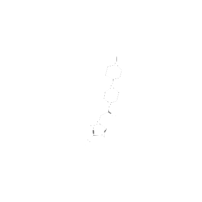 CN1CCC(N2CCN(C(=O)Cn3cnc(N)n3)CC2)CC1